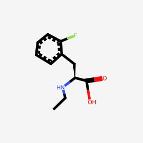 CCN[C@@H](Cc1ccccc1F)C(=O)O